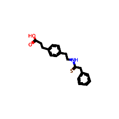 O=C(O)CCc1ccc(CCNC(=S)Cc2ccccc2)cc1